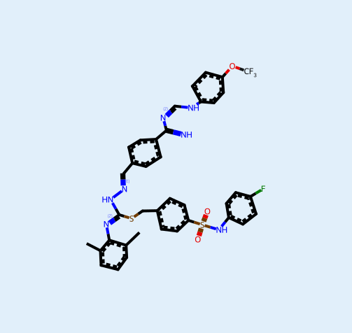 Cc1cccc(C)c1/N=C(/N/N=C/c1ccc(C(=N)/N=C\Nc2ccc(OC(F)(F)F)cc2)cc1)SCc1ccc(S(=O)(=O)Nc2ccc(F)cc2)cc1